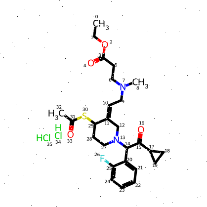 CCOC(=O)CCN(C)C/C=C1\CN(C(C(=O)C2CC2)c2ccccc2F)CCC1SC(C)=O.Cl.Cl